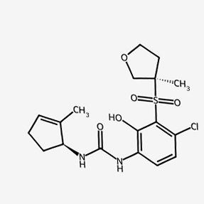 CC1=CCC[C@@H]1NC(=O)Nc1ccc(Cl)c(S(=O)(=O)[C@]2(C)CCOC2)c1O